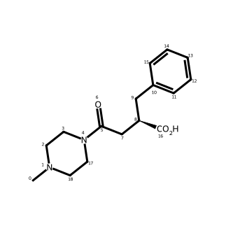 CN1CCN(C(=O)C[C@@H](Cc2ccccc2)C(=O)O)CC1